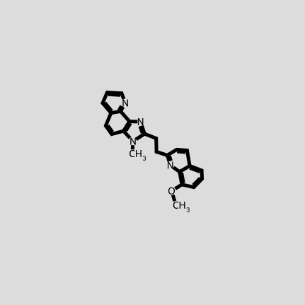 COc1cccc2ccc(CCc3nc4c5ncccc5ccc4n3C)nc12